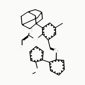 COc1ccccc1-c1ccccc1/N=C/c1cc(C)cc(C23CC4CC(CC(C4)C2)C3)c1O/C(Cl)=C\Cl